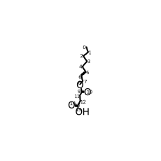 CCCCCC=CCOC(=O)CCC(=O)O